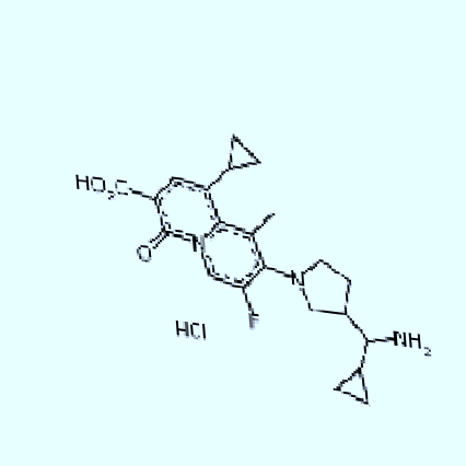 Cc1c(N2CCC(C(N)C3CC3)C2)c(F)cn2c(=O)c(C(=O)O)cc(C3CC3)c12.Cl